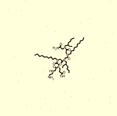 CCCCCCCCCCN(CC(=O)N(CC(=O)N(CCCCCCCCCC)CC(=O)N(CC(N)=O)CC(CC)CCCC)CC(CC)CCCC)C(=O)CN(CCC(=O)O)C(=O)CNCCN